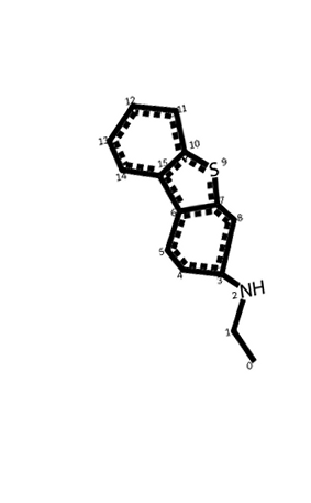 CCNc1ccc2c(c1)sc1ccccc12